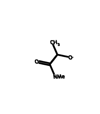 CNC(=O)C(C)[O]